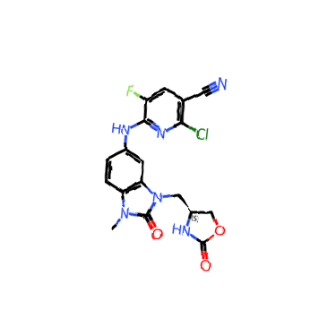 Cn1c(=O)n(C[C@H]2COC(=O)N2)c2cc(Nc3nc(Cl)c(C#N)cc3F)ccc21